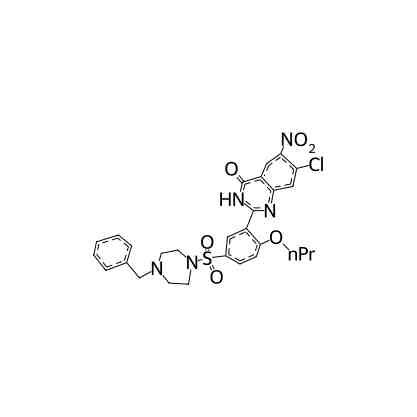 CCCOc1ccc(S(=O)(=O)N2CCN(Cc3ccccc3)CC2)cc1-c1nc2cc(Cl)c([N+](=O)[O-])cc2c(=O)[nH]1